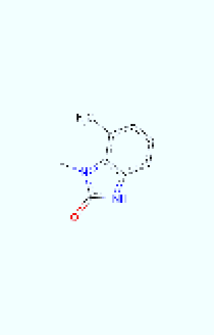 Cn1c(=O)[nH]c2cccc(C(F)(F)F)c21